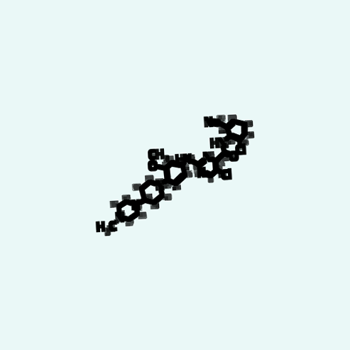 COc1cc(Nc2ncc(Cl)c(C(=O)Nc3c(Cl)cccc3C#N)n2)ccc1N1CCC(N2CCN(C)CC2)CC1